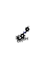 CC1(C)Oc2cc(/C=C/c3ccccc3)cc(O)c2C[C@@H]1O